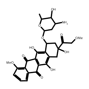 COCC(=O)C1(O)Cc2c(O)c3c(c(O)c2C(OC2CC(N)C(O)C(C)O2)C1)C(=O)c1c(OC)cccc1C3=O